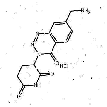 Cl.NCc1ccc2c(=O)n(C3CCC(=O)NC3=O)nnc2c1